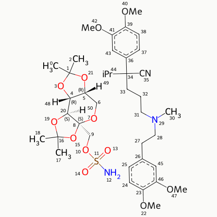 CC1(C)O[C@@H]2[C@@H](CO[C@@]3(COS(N)(=O)=O)OC(C)(C)O[C@@H]23)O1.COc1ccc(CCN(C)CCCC(C#N)(c2ccc(OC)c(OC)c2)C(C)C)cc1OC